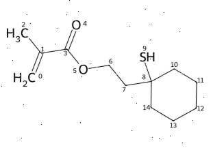 C=C(C)C(=O)OCCC1(S)CCCCC1